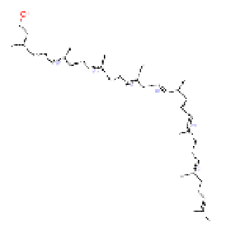 CC(C)=CCC/C(C)=C/CC/C(C)=C/CCC(C)/C=C/C/C(C)=C/CC/C(C)=C/CC/C(C)=C/CCC(C)CCO